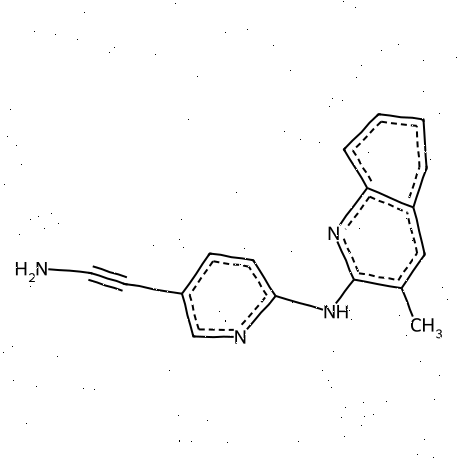 Cc1cc2ccccc2nc1Nc1ccc(C#CN)cn1